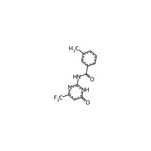 Cc1cccc(C(=O)Nc2nc(C(F)(F)F)cc(=O)[nH]2)c1